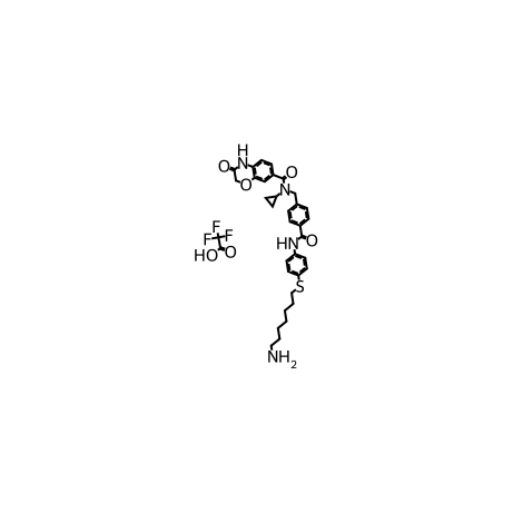 NCCCCCCCSc1ccc(NC(=O)c2ccc(CN(C(=O)c3ccc4c(c3)OCC(=O)N4)C3CC3)cc2)cc1.O=C(O)C(F)(F)F